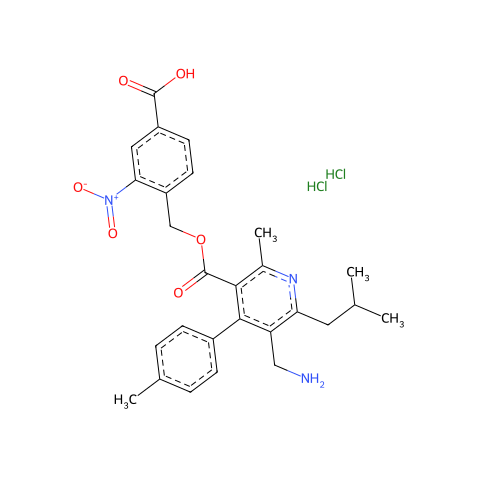 Cc1ccc(-c2c(CN)c(CC(C)C)nc(C)c2C(=O)OCc2ccc(C(=O)O)cc2[N+](=O)[O-])cc1.Cl.Cl